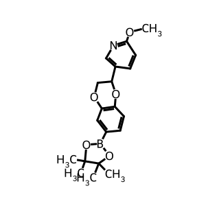 COc1ccc(C2COc3cc(B4OC(C)(C)C(C)(C)O4)ccc3O2)cn1